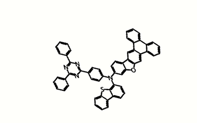 c1ccc(-c2nc(-c3ccccc3)nc(-c3ccc(N(c4ccc5c(c4)oc4cc6c7ccccc7c7ccccc7c6cc45)c4cccc5c4sc4ccccc45)cc3)n2)cc1